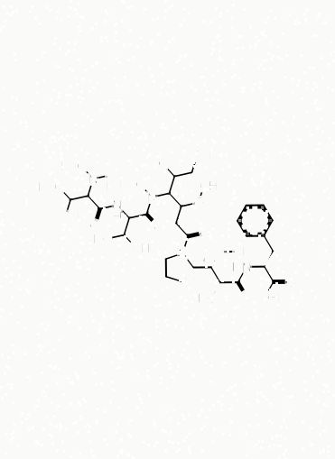 CCC(C)C(C(CC(=O)N1CCC[C@H]1[C@H](OC)[C@@H](C)C(=O)N[C@@H](Cc1ccccc1)C(=O)O)OC)N(C)C(=O)C(NC(=O)C(C(C)C)N(C)C)C(C)C